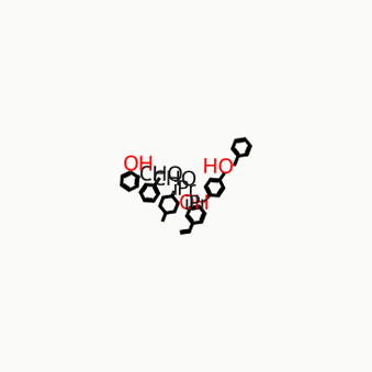 C=Cc1ccccc1.CC1CCC(C(C)C)C(O)C1.Cc1ccc(C(C)C)cc1.O=Cc1ccccc1.O=Cc1ccccc1O.OCc1ccccc1